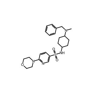 CN(Cc1ccccc1)C1CCC(NS(=O)(=O)c2ccc(N3CCOCC3)nc2)CC1